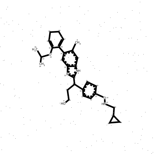 Cc1cc2[nH]c(C(CCO)c3ccc(ONCC4CC4)cc3)nc2cc1C1=CCCC=C1OC(C)C